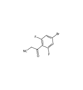 N#CCC(=O)c1c(F)cc(Br)cc1F